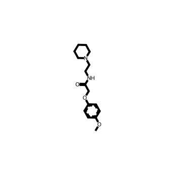 COc1ccc(OCC(=O)NCCN2CCCCC2)cc1